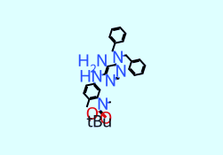 Cc1ccc(Nc2ncnc(N(Cc3ccccc3)Cc3ccccc3)c2N)cc1N(C)C(=O)OC(C)(C)C